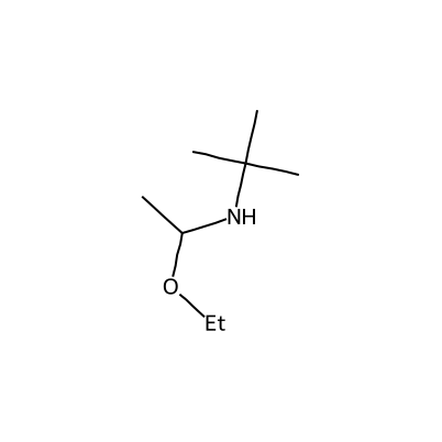 CCOC(C)NC(C)(C)C